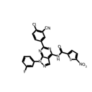 N#Cc1cc(-c2nc(NC(=O)c3ccc([N+](=O)[O-])s3)c3cnn(-c4cccc(F)c4)c3n2)ccc1Cl